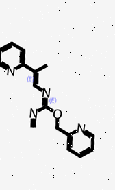 C=N/C(=N\C=C(/C)c1ccccn1)OCc1ccccn1